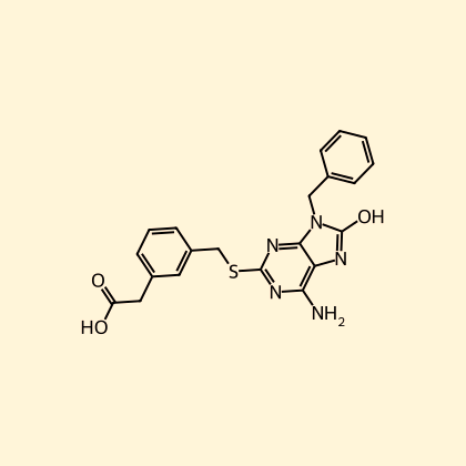 Nc1nc(SCc2cccc(CC(=O)O)c2)nc2c1nc(O)n2Cc1ccccc1